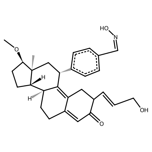 CO[C@@H]1CC[C@H]2[C@@H]3CCC4=CC(=O)C(C=CCO)CC4=C3[C@@H](c3ccc(/C=N\O)cc3)C[C@]12C